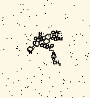 CC(=O)OCC1(C)C2C[C@H](OC(=O)CCN3CCN(C)CC3)[C@@]3(C)Oc4cc(-c5cccnc5)oc(=O)c4[C@H](O)C3[C@@]2(C)CC[C@@H]1OC(C)=O